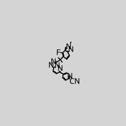 Cn1cc2c(F)c(C(C)(C)c3nnc4ccc(-c5ccc(C#N)nc5)nn34)ccc2n1